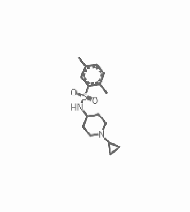 Cc1ccc(C)c(S(=O)(=O)NC2CCN(C3CC3)CC2)c1